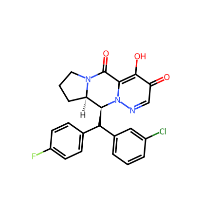 O=C1c2c(O)c(=O)cnn2[C@@H](C(c2ccc(F)cc2)c2cccc(Cl)c2)[C@H]2CCCN12